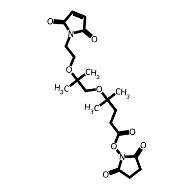 CC(C)(CCC(=O)ON1C(=O)CCC1=O)OCC(C)(C)OCCN1C(=O)C=CC1=O